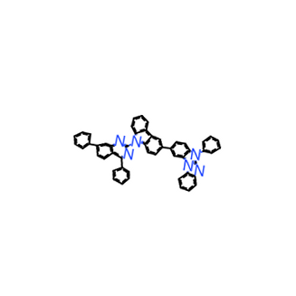 c1ccc(-c2ccc3c(-c4ccccc4)nc(-n4c5ccccc5c5cc(-c6ccc7c(c6)n6c8ccccc8nc6n7-c6ccccc6)ccc54)nc3c2)cc1